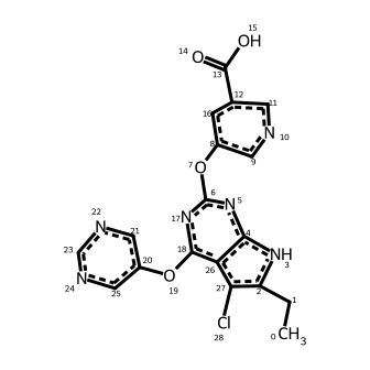 CCc1[nH]c2nc(Oc3cncc(C(=O)O)c3)nc(Oc3cncnc3)c2c1Cl